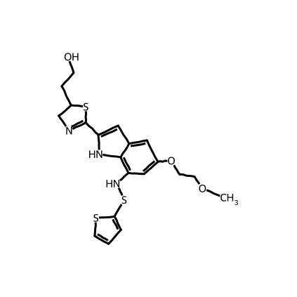 COCCOc1cc(NSc2cccs2)c2[nH]c(C3=NCC(CCO)S3)cc2c1